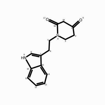 O=C1CCN(CCc2c[nH]c3ccccc23)C(=O)C1